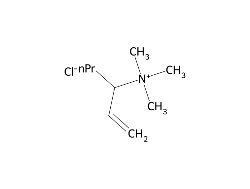 C=CC(CCC)[N+](C)(C)C.[Cl-]